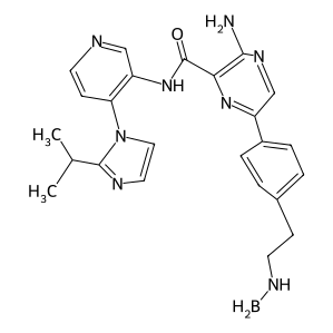 BNCCc1ccc(-c2cnc(N)c(C(=O)Nc3cnccc3-n3ccnc3C(C)C)n2)cc1